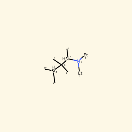 CCN(CC)[SiH](C)C(C)(C)[SiH](C)C